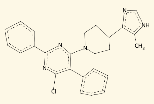 Cc1[nH]cnc1C1CCN(c2nc(-c3ccccc3)nc(Cl)c2-c2ccccc2)CC1